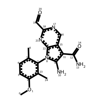 COc1ccc(C)c(-n2c(N)c(C(N)=O)c3cnc(C=O)nc32)c1C